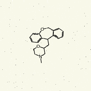 CN1CCOC(CC2c3ccccc3COc3ccccc32)C1